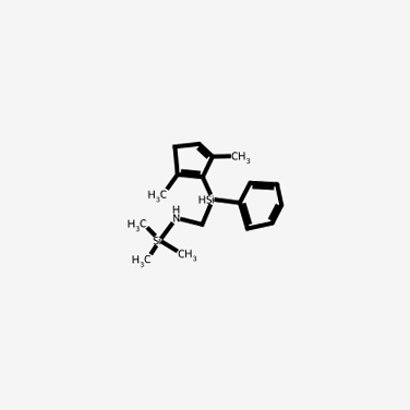 CC1=CCC(C)=C1[SiH](CN[Si](C)(C)C)c1ccccc1